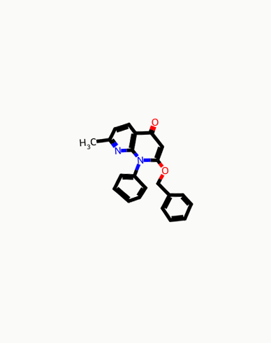 Cc1ccc2c(=O)cc(OCc3ccccc3)n(-c3ccccc3)c2n1